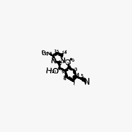 COc1cc(C#N)ccc1C(O)c1nccc(Br)n1